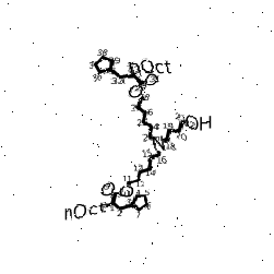 CCCCCCCCC(CC1CCCC1)C(=O)OCCCCCCN(CCCCO)CCCCCCOC(=O)C(CCCCCCCC)CC1CCCC1